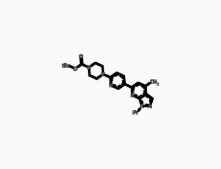 Cc1cc(-c2ccc(N3CCN(C(=O)OC(C)(C)C)CC3)nc2)nc2c1cnn2C(C)C